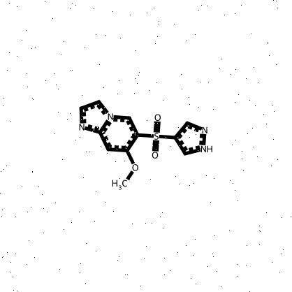 COc1cc2nccn2cc1S(=O)(=O)c1cn[nH]c1